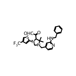 CC1(C)C(C(=O)C=O)N(c2cc(C(F)(F)F)cs2)CN1Cc1ccnc(NCc2ccccc2)c1